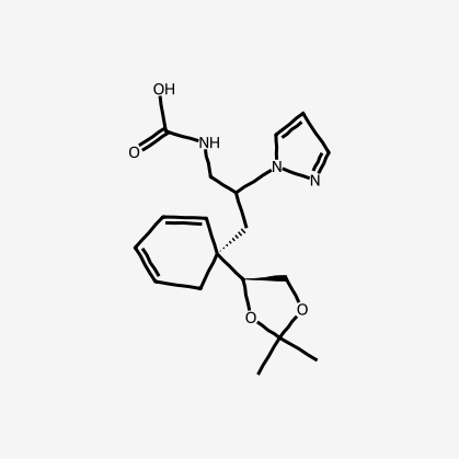 CC1(C)OC[C@H]([C@]2(CC(CNC(=O)O)n3cccn3)C=CC=CC2)O1